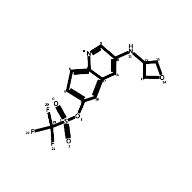 O=S(=O)(Oc1ccc2ncc(NC3COC3)cc2c1)C(F)(F)F